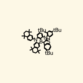 Cc1cc(C(C)(C)C)ccc1N1c2cc(C(C)(C)C)cc3c2B(c2cc4c(cc2N3c2ccc3c(c2)C(C)(C)CCC3(C)C)C(C)(C)CCC4(C)C)C2C3=C=C(C=CC(C(C)(C)C)=C3)S[C@H]21